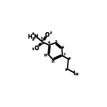 NS(=O)(=O)c1ccc(CCI)cc1